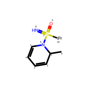 CC1C=CC=CN1S(=N)(=O)C(C)C